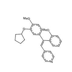 COc1ccc(C(=Cc2ccncc2)c2ccccc2OC)cc1OC1CCCC1